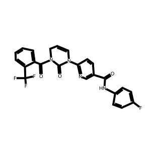 O=C(Nc1ccc(F)cc1)c1ccc(N2C=CCN(C(=O)c3ccccc3C(F)(F)F)C2=O)nc1